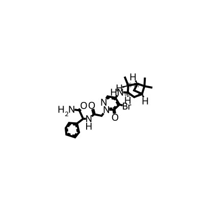 C[C@@H]1[C@H]2C[C@@H](C[C@H]1Nc1cnn(CC(=O)NC(C(N)=O)c3ccccc3)c(=O)c1Br)C2(C)C